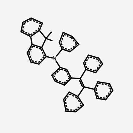 CC1(C)c2ccccc2-c2cccc(N(c3ccccc3)c3cccc(C(=C(c4ccccc4)c4ccccc4)c4ccccc4)c3)c21